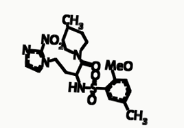 COc1ccc(C)cc1S(=O)(=O)NC(CCn1ccnc1[N+](=O)[O-])C(=O)N1CCC(C)CC1